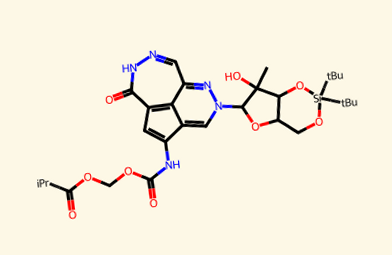 CC(C)C(=O)OCOC(=O)Nc1cc2c(=O)[nH]ncc3nn(C4OC5CO[Si](C(C)(C)C)(C(C)(C)C)OC5C4(C)O)cc1c32